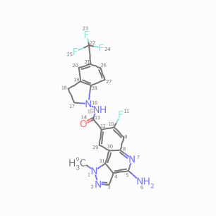 Cn1ncc2c(N)nc3cc(F)c(C(=O)NN4CCc5cc(C(F)(F)F)ccc54)cc3c21